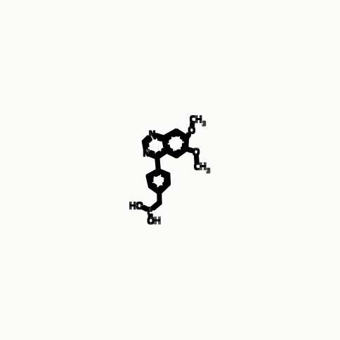 COc1cc2ncnc(-c3ccc(CP(O)O)cc3)c2cc1OC